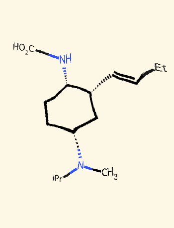 CCC=C[C@@H]1C[C@H](N(C)C(C)C)CC[C@@H]1NC(=O)O